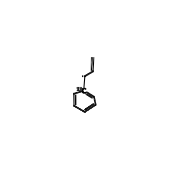 C=C[CH][13c]1ccccc1